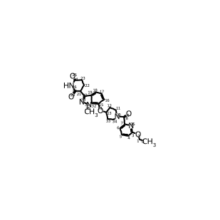 CCOc1cccc(C(=O)N2CCC(Oc3cccc4c(C5CCC(=O)NC5=O)nn(C)c34)CC2)n1